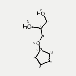 OCC(O)COP1CCCC1